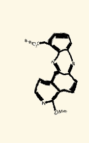 COc1nccc2c1ccc1nc3cccc(C(=O)O)c3nc12